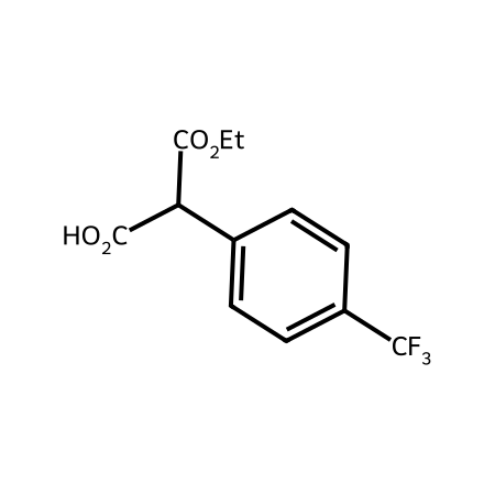 CCOC(=O)C(C(=O)O)c1ccc(C(F)(F)F)cc1